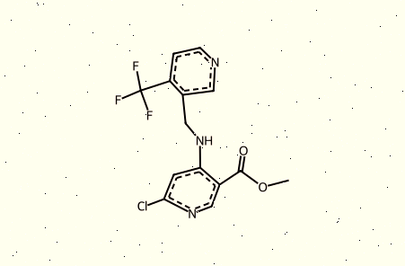 COC(=O)c1cnc(Cl)cc1NCc1cnccc1C(F)(F)F